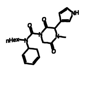 CCCCCCN(C(=O)N1CC(=O)N(C)C(c2cc[nH]c2)C1=O)C1C=CC=CC1